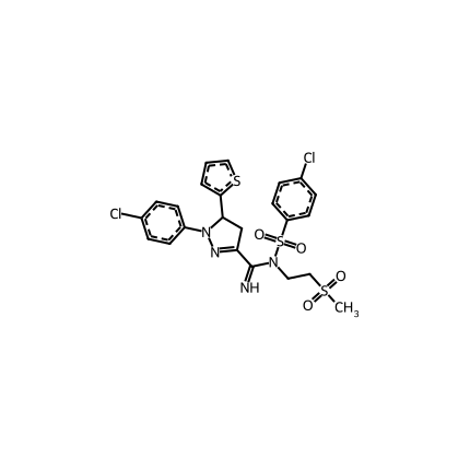 CS(=O)(=O)CCN(C(=N)C1=NN(c2ccc(Cl)cc2)C(c2cccs2)C1)S(=O)(=O)c1ccc(Cl)cc1